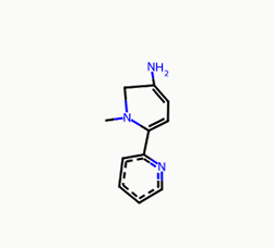 CN1CC(N)=CC=C1c1ccccn1